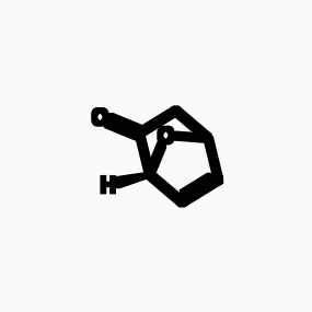 O=C1CC2C=C[C@H]1O2